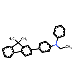 CCN(c1ccccc1)c1ccc(-c2ccc3c(c2)C(C)(C)c2ccccc2-3)cc1